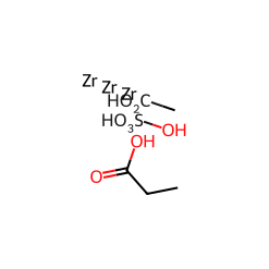 CC(=O)O.CCC(=O)O.O=S(=O)(O)O.[Zr].[Zr].[Zr]